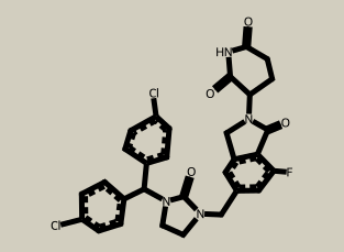 O=C1CCC(N2Cc3cc(CN4CCN(C(c5ccc(Cl)cc5)c5ccc(Cl)cc5)C4=O)cc(F)c3C2=O)C(=O)N1